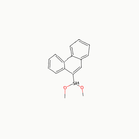 CO[SiH](OC)c1cc2ccccc2c2ccccc12